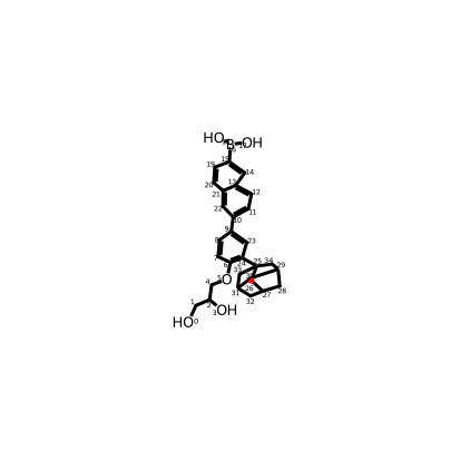 OCC(O)COc1ccc(-c2ccc3cc(B(O)O)ccc3c2)cc1C12CC3CC(CC(C3)C1)C2